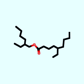 CCCCC(CC)CCCC(=O)OCC(CC)CCCC